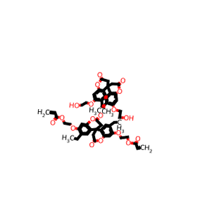 C=CC(=O)OCCOc1cc2c(cc1CC)C1(CC(=O)O2)CC(=O)Oc2cc(OCCOC(=O)C=C)c(CC)cc21.CCc1cc2c(cc1OCCO)OC(=O)CC21CC(=O)Oc2cc(OCCO)c(CC)cc21